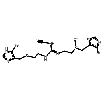 N#CN/C(=N\CC[S+]([O-])Cc1nc[nH]c1Br)NCCSCc1nc[nH]c1Br